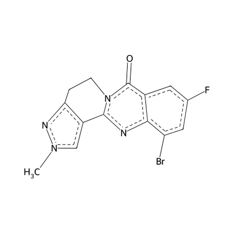 Cn1cc2c(n1)CCn1c-2nc2c(Br)cc(F)cc2c1=O